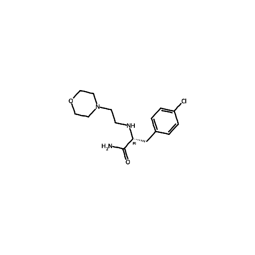 NC(=O)[C@@H](Cc1ccc(Cl)cc1)NCCN1CCOCC1